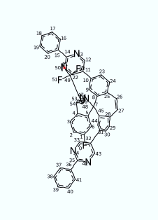 Fc1ccc2c(c1)C1(c3cc(-c4cnc(-c5ccccc5)nc4)ccc3C=Cc3ccc(-c4cnc(-c5ccccc5)nc4)cc31)n1nc(C(F)(F)F)cc1-2